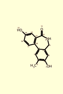 Cc1cc2c(cc1O)CNC(=O)c1cc(O)ccc1-2